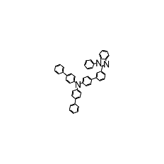 c1ccc(-c2ccc(N(c3ccc(-c4ccccc4)cc3)c3ccc(-c4cccc(-c5nc6ccccc6n5-c5ccccc5)c4)cc3)cc2)cc1